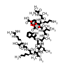 CC[C@H](C)[C@H](NC(=O)[C@H](Cc1ccccc1)NC(=O)[C@H](CCC(=O)O)NC(=O)[C@H](CCCCN)NC(=O)[C@H](C)NC(=O)[C@H](C)N)C(=O)N[C@@H](C)C(=O)N[C@@H](Cc1c[nH]c2ccccc12)C(=O)N[C@@H](CC(C)C)C(=O)N[C@H](C(=O)N[C@@H](CCCCN)C(=O)NCC(=O)N[C@@H](CCCNC(=N)N)C(=O)O)C(C)C